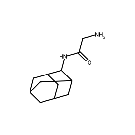 NCC(=O)NC1C2CC3CC(C2)CC1C3